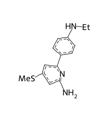 CCNc1ccc(-c2cc(SC)cc(N)n2)cc1